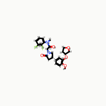 COc1ccc([C@@H]2CC(=O)N(CC(=O)N(C)c3cccc(F)c3F)C2)cc1O[C@@H]1CCOC1